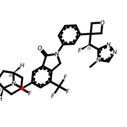 Cn1cnnc1[C@@H](F)C1(c2cccc(N3Cc4c(cc(CN5[C@@H]6CC[C@H]5CC(F)C6)cc4C(F)(F)F)C3=O)c2)COC1